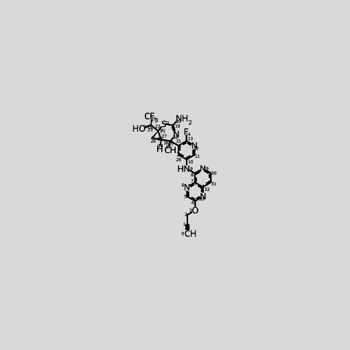 C#CCOc1cnc2c(Nc3cnc(F)c([C@@]4(C)N=C(N)S[C@]5([C@@H](O)C(F)(F)F)C[C@H]54)c3)nccc2n1